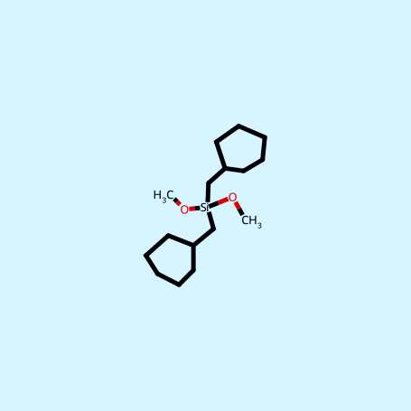 CO[Si](CC1CCCCC1)(CC1CCCCC1)OC